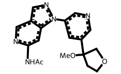 COC1(c2cncc(-n3ncc4cnc(NC(C)=O)cc43)c2)CCOC1